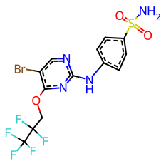 NS(=O)(=O)c1ccc(Nc2ncc(Br)c(OCC(F)(F)C(F)(F)F)n2)cc1